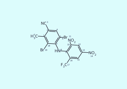 Cc1c(C#N)cc(Br)c(Nc2c([N+](=O)[O-])cc([N+](=O)[O-])cc2C(F)(F)F)c1Br